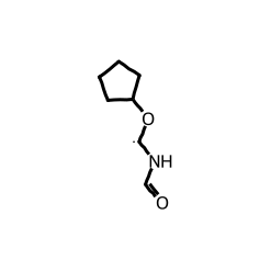 O=CN[CH]OC1CCCC1